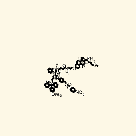 COc1ccc(C(NCCCC[C@@H](NC(=O)[C@H](Cc2ccccc2)NC(=O)CCC(=O)NCCCO[C@H]2CC[C@@]3(C)C(=CCC4[C@@H]5CC[C@H]([C@H](C)CCCC(C)C)[C@@]5(C)CC[C@@H]43)C2)C(=O)Nc2ccc(COC(=O)Oc3ccc([N+](=O)[O-])cc3)cc2)(c2ccccc2)c2ccccc2)cc1